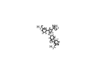 Cc1cc(-c2ncc(CN3C=C(C(N)=O)SC3c3cccc(C)n3)cc2C)ccn1